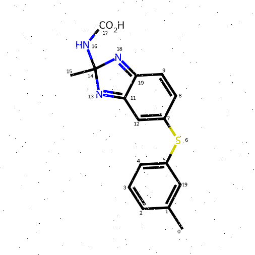 Cc1cccc(Sc2ccc3c(c2)=NC(C)(NC(=O)O)N=3)c1